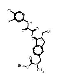 CN(Cc1ccc2c(c1)C[C@H](CO)/C2=N\C(=O)C(=O)Nc1ccc(Cl)c(F)c1)C(=O)OC(C)(C)C